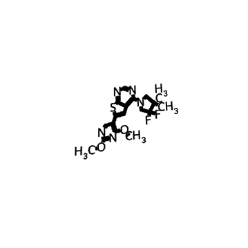 COc1ncc(-c2cc3c(N4CC(C)(C)C(F)(F)C4)ncnc3s2)c(OC)n1